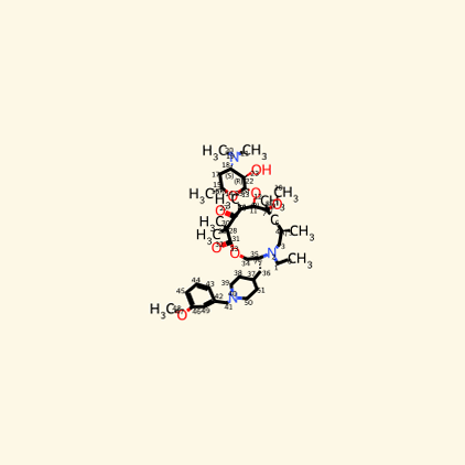 CCN1C[C@H](C)C[C@@](C)(OC)[C@H](O[C@@H]2O[C@H](C)C[C@H](N(C)C)[C@H]2O)[C@@H](C)C(=O)C(C)(C)C(=O)OC[C@H]1CC1CCN(Cc2cccc(OC)c2)CC1